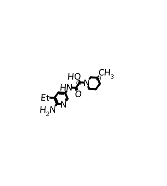 CCc1cc(NC(=O)[C@@H](O)N2CCC[C@H](C)C2)cnc1N